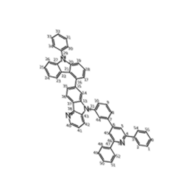 c1ccc(-c2cc(-c3cccc(-n4c5cc(-c6cccc7c6c6ccccc6n7-c6ccccc6)ccc5c5ncccc54)c3)cc(-c3ccccc3)n2)cc1